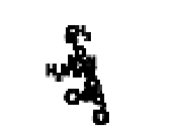 COCCOc1nc(N)nc2c1ncn2[C@@H]1C[C@H](COCc2ccccc2)[C@H]([Se]c2ccccc2)C1